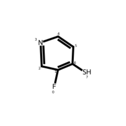 Fc1cnccc1S